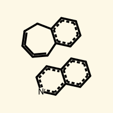 C1=C=Cc2ccccc2CC=1.c1ccc2cnccc2c1